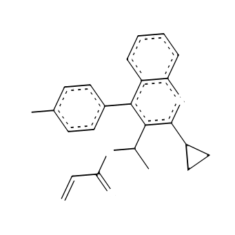 C=CC(=O)OC(C)c1c(C2CC2)nc2ccccc2c1-c1ccc(F)cc1